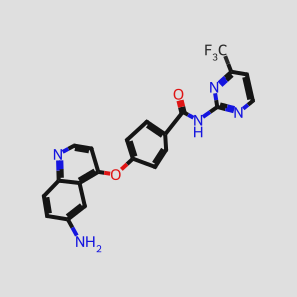 Nc1ccc2nccc(Oc3ccc(C(=O)Nc4nccc(C(F)(F)F)n4)cc3)c2c1